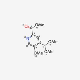 COC(=O)c1cc(C(OC)OC)c(OC)cn1